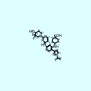 CC1(O)CCC(Nc2cc(Nc3ccnc(N4CCC(O)C(F)(F)C4)n3)ncc2-c2ccn(C(F)F)n2)CC1